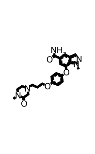 CN1CCN(CCCOc2ccc(Oc3cc(C(N)=O)cc4cnn(C)c34)cc2)CC1=O